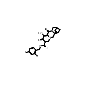 O=C(NCc1ccc(F)cc1F)C1CN2CC3=C4CC(C4)CN3C(=O)C2=C(O)C1=O